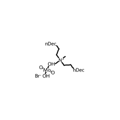 CCCCCCCCCCCC[N+](C)(C)CCCCCCCCCCCC.[Br-].[O]=[Mo](=[O])([OH])[OH]